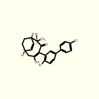 CCc1ccc(-c2ccc(Cl)cc2)cc1/C1=C(\O)C[C@H]2C=C[C@H](CC2)[C@H](C)C1=O